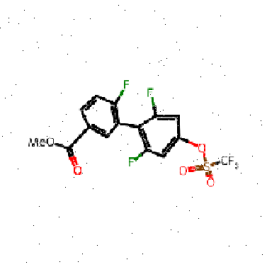 COC(=O)c1ccc(F)c(-c2c(F)cc(OS(=O)(=O)C(F)(F)F)cc2F)c1